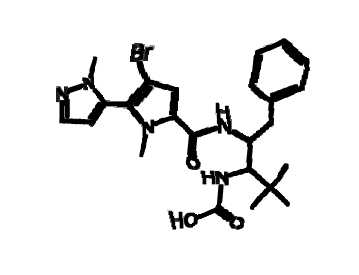 Cn1nccc1-c1c(Br)cc(C(=O)NC(Cc2ccccc2)C(NC(=O)O)C(C)(C)C)n1C